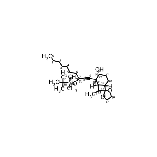 CCCCCCC[C@@H](C#C[C@@H]1[C@H]2C(C)C3(OCCO3)[C@H]2CC[C@H]1O)O[Si](C)(C)C(C)(C)C